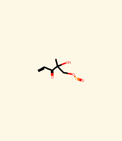 C=CC(=O)C(C)(O)COP=O